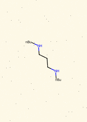 [CH2]CCCNCCCNCCCC